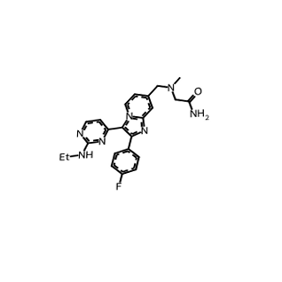 CCNc1nccc(-c2c(-c3ccc(F)cc3)nc3cc(CN(C)CC(N)=O)ccn23)n1